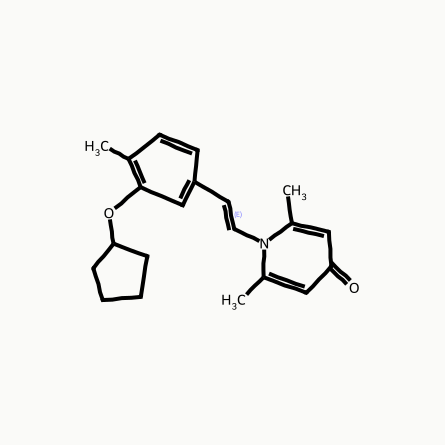 Cc1ccc(/C=C/n2c(C)cc(=O)cc2C)cc1OC1CCCC1